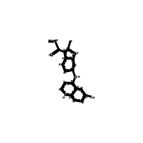 CNC(=O)c1c(C)sc2cc(Oc3ccnc4ccc(I)cc34)ccc12